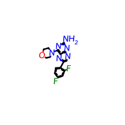 Nc1nc(N2CCOCC2)c2nc(-c3ccc(F)cc3F)cnc2n1